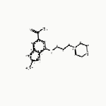 NC(=O)c1cc(OCCCN2CCOCC2)c2[nH]c(N)nc2c1